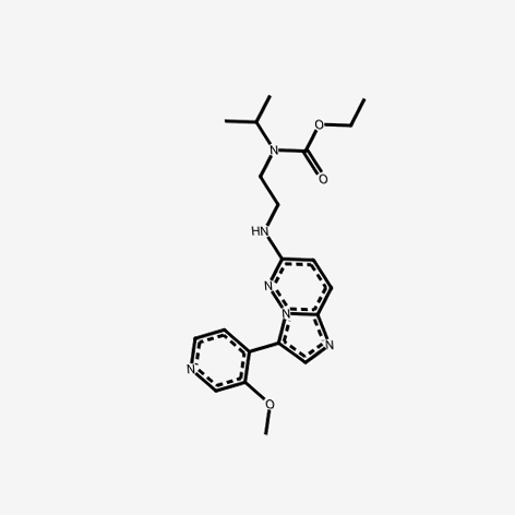 CCOC(=O)N(CCNc1ccc2ncc(-c3ccncc3OC)n2n1)C(C)C